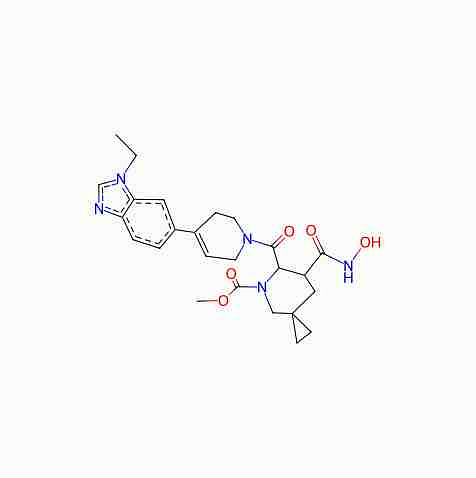 CCn1cnc2ccc(C3=CCN(C(=O)C4C(C(=O)NO)CC5(CC5)CN4C(=O)OC)CC3)cc21